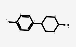 O[C@H]1CC[C@@H](c2ccc(Br)cc2)CC1